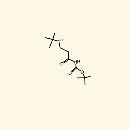 CC(C)(C)NCCC(=O)NC(=O)OC(C)(C)C